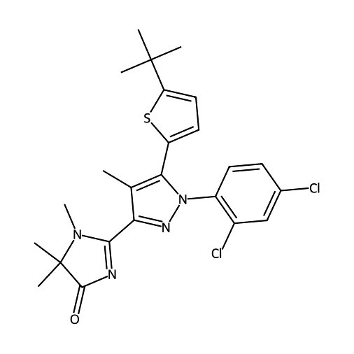 Cc1c(C2=NC(=O)C(C)(C)N2C)nn(-c2ccc(Cl)cc2Cl)c1-c1ccc(C(C)(C)C)s1